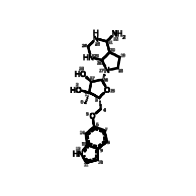 C[C@@]1(O)[C@@H](COc2ccc3cc[nH]c3c2)O[C@@H](N2CCC3C(N)NCNC32)[C@@H]1O